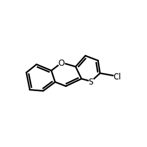 ClC1=CC=C2Oc3ccccc3C=C2S1